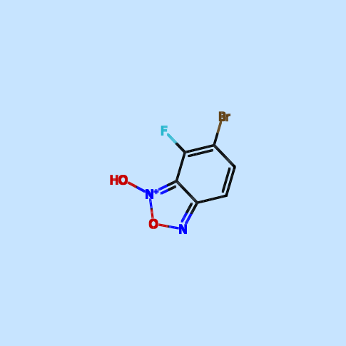 O[n+]1onc2ccc(Br)c(F)c21